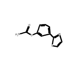 NC(=O)Oc1cccc(-c2nccs2)c1